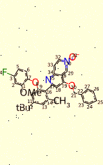 COc1cc(F)ccc1Oc1cc(C(C)(C)C)cc(C)c1-c1cc(OCc2ccccc2)c2c[n+]([O-])ccc2n1